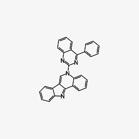 c1ccc(-c2nc(-n3cc4c5ccccc5nc-4c4ccccc43)nc3ccccc23)cc1